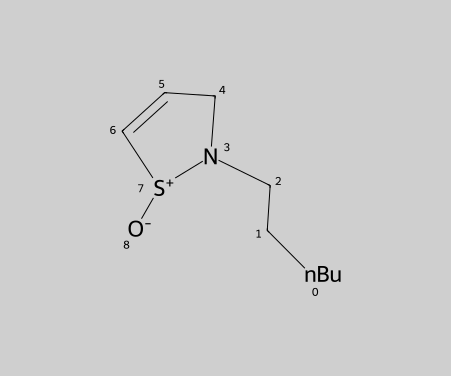 CCCCCCN1CC=C[S+]1[O-]